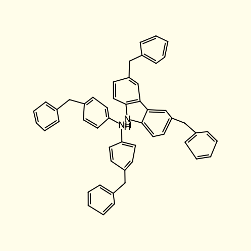 c1ccc(Cc2ccc(Nc3ccc(Cc4ccccc4)cc3)cc2)cc1.c1ccc(Cc2ccc3[nH]c4ccc(Cc5ccccc5)cc4c3c2)cc1